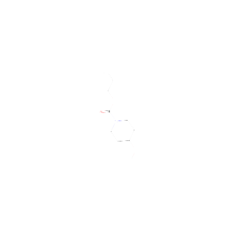 [CH2]OC1CCN(C(=O)OCCC)CC1